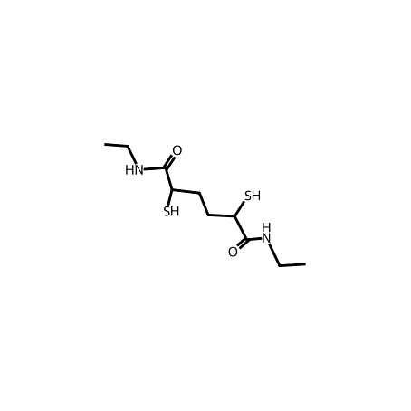 CCNC(=O)C(S)CCC(S)C(=O)NCC